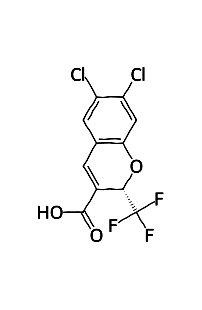 O=C(O)C1=Cc2cc(Cl)c(Cl)cc2O[C@@H]1C(F)(F)F